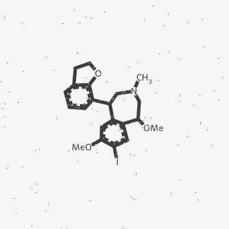 COc1cc2c(cc1I)C(OC)CN(C)CC2c1cccc2c1OCC2